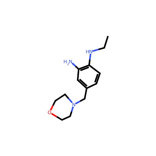 CCNc1ccc(CN2CCOCC2)cc1N